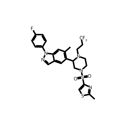 Cc1nc(S(=O)(=O)N2CCN(CCC(F)(F)F)C(c3cc4cnn(-c5ccc(F)cc5)c4cc3C)C2)cs1